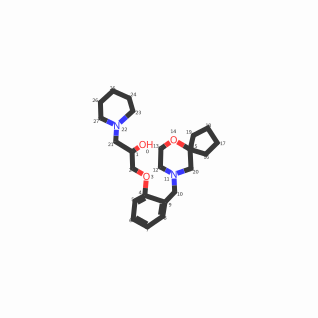 OC(COc1ccccc1CN1CCOC2(CCCC2)C1)CN1CCCCC1